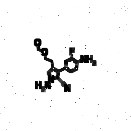 N#Cc1c(-c2ccc(N)c(F)c2)c(CCOC=O)cn1N